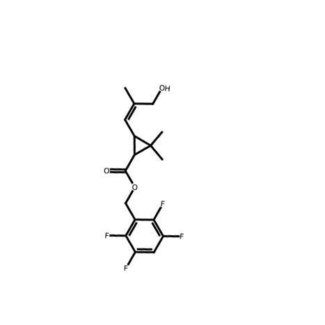 CC(=CC1C(C(=O)OCc2c(F)c(F)cc(F)c2F)C1(C)C)CO